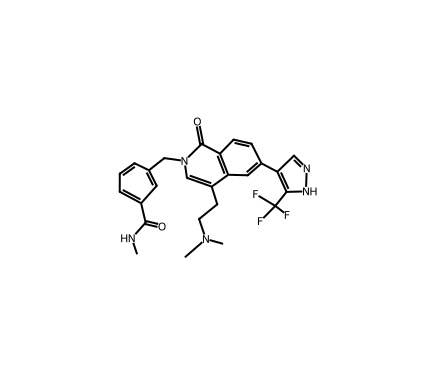 CNC(=O)c1cccc(Cn2cc(CCN(C)C)c3cc(-c4cn[nH]c4C(F)(F)F)ccc3c2=O)c1